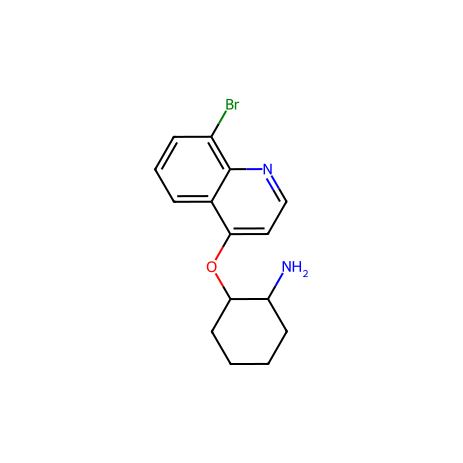 NC1CCCCC1Oc1ccnc2c(Br)cccc12